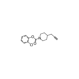 C#CCC1CCN(C(=O)Oc2ccccc2Cl)CC1